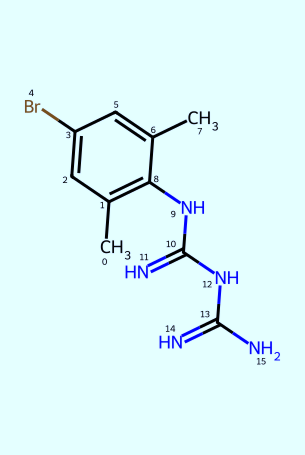 Cc1cc(Br)cc(C)c1NC(=N)NC(=N)N